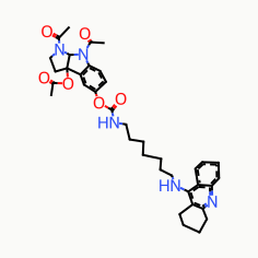 CC(=O)OC12CCN(C(C)=O)C1N(C(C)=O)c1ccc(OC(=O)NCCCCCCCNc3c4c(nc5ccccc35)CCCC4)cc12